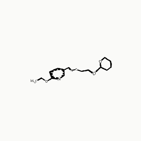 CCOc1ccc(C=NOCCOC2CCCCO2)cn1